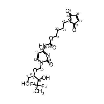 CC(F)(F)[C@H](O)[C@@H](CO)OCn1ccc(NC(=O)OCCCCN2C(=O)C=CC2=O)nc1=O